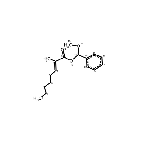 CCCCCC=C(C)C(=O)OC(OC)c1ccccc1